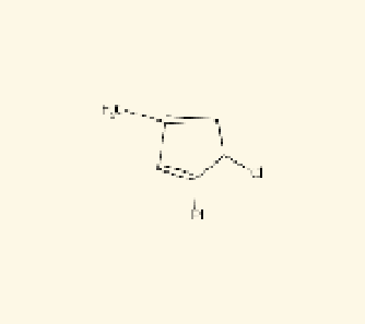 CCC1=CC(C(F)(F)F)=CCC1Cl